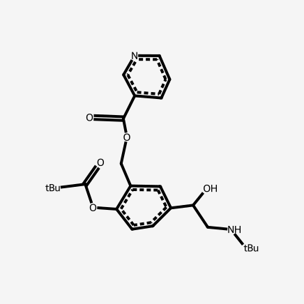 CC(C)(C)NCC(O)c1ccc(OC(=O)C(C)(C)C)c(COC(=O)c2cccnc2)c1